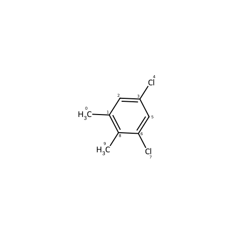 Cc1cc(Cl)cc(Cl)c1C